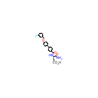 NC(=O)[C@H](CCC(=O)O)NC(=O)c1ccc(-c2ccc(OCc3cccc(F)c3)cc2)cc1